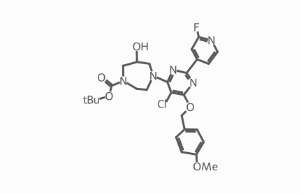 COc1ccc(COc2nc(-c3ccnc(F)c3)nc(N3CCN(C(=O)OC(C)(C)C)CC(O)C3)c2Cl)cc1